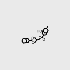 CC1CC2CC(C(=O)OCC3COC(C4CC5CCCC(C5)C4)OC3)CC(O)(C1)C2